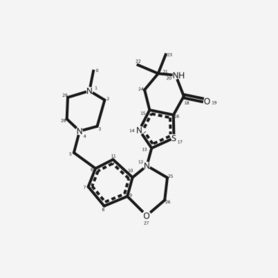 CN1CCN(Cc2ccc3c(c2)N(c2nc4c(s2)C(=O)NC(C)(C)C4)CCO3)CC1